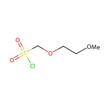 COCCOCS(=O)(=O)Cl